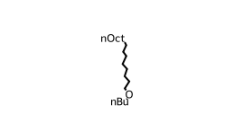 CCCCCCCCCCCCCCCCOCCCC